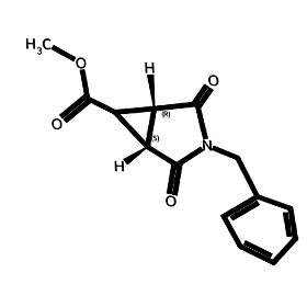 COC(=O)C1[C@H]2C(=O)N(Cc3ccccc3)C(=O)[C@@H]12